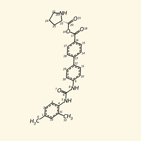 Cc1ccc(NC(=O)Nc2ccc(-c3ccc(C(=O)OC(=O)[C@@H]4CCCN4)cc3)cc2)c(C)c1